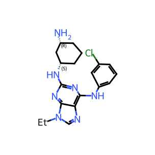 CCn1cnc2c(Nc3cccc(Cl)c3)nc(N[C@H]3CCC[C@@H](N)C3)nc21